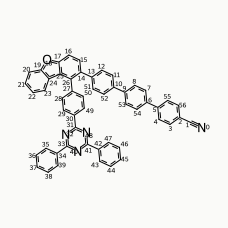 N#Cc1ccc(-c2ccc(-c3ccc(-c4ccc5oc6ccccc6c5c4-c4ccc(-c5nc(-c6ccccc6)nc(-c6ccccc6)n5)cc4)cc3)cc2)cc1